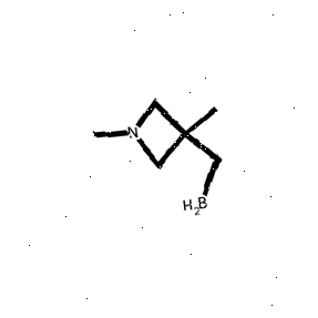 BCC1(C)CN(C)C1